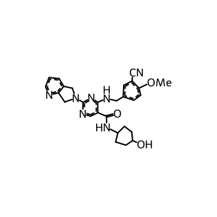 COc1ccc(CNc2nc(N3Cc4cccnc4C3)ncc2C(=O)NC2CCC(O)CC2)cc1C#N